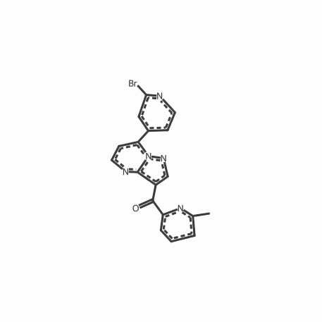 Cc1cccc(C(=O)c2cnn3c(-c4ccnc(Br)c4)ccnc23)n1